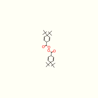 CC(C)(C)C1(C(C)(C)C)C=CC(C(=O)OOC(=O)C2C=CC(C(C)(C)C)(C(C)(C)C)C=C2)C=C1